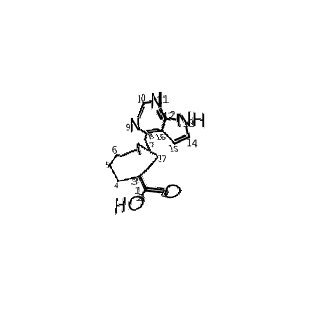 O=C(O)C1CCCN(c2ncnc3[nH]ccc23)C1